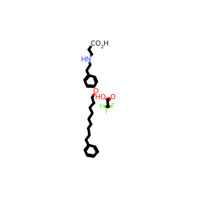 O=C(O)C(F)(F)F.O=C(O)CCNCCc1ccc(OCCCCCCCCCc2ccccc2)cc1